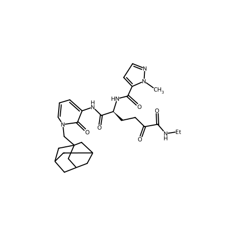 CCNC(=O)C(=O)CC[C@H](NC(=O)c1ccnn1C)C(=O)Nc1cccn(CC23CC4CC(CC(C4)C2)C3)c1=O